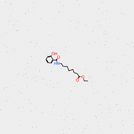 CCOC(=O)CCCCCCCNC(=O)c1ccccc1O